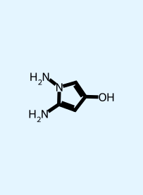 Nc1cc(O)cn1N